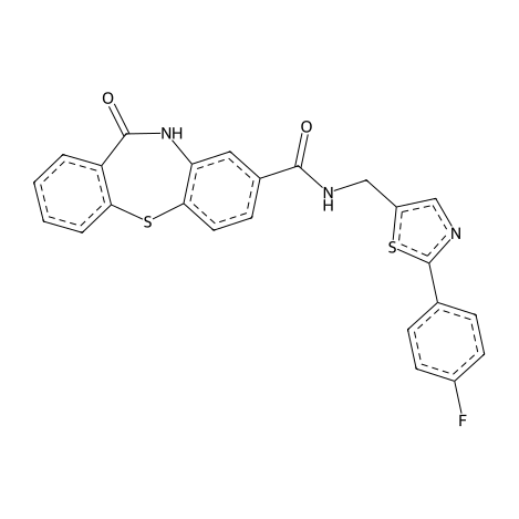 O=C(NCc1cnc(-c2ccc(F)cc2)s1)c1ccc2c(c1)NC(=O)c1ccccc1S2